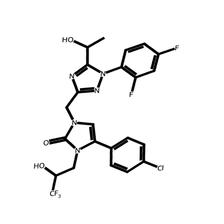 CC(O)c1nc(Cn2cc(-c3ccc(Cl)cc3)n(CC(O)C(F)(F)F)c2=O)nn1-c1ccc(F)cc1F